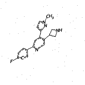 Cn1ccc(-c2cc(-c3ccc(F)cc3)ncc2C2CNC2)n1